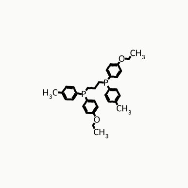 CCOc1ccc(P(CCCP(c2ccc(C)cc2)c2ccc(OCC)cc2)c2ccc(C)cc2)cc1